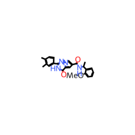 COc1ccccc1C(C)NC(=O)c1cc2c(=O)[nH]c(-c3ccc(C)c(C)c3)nn2c1